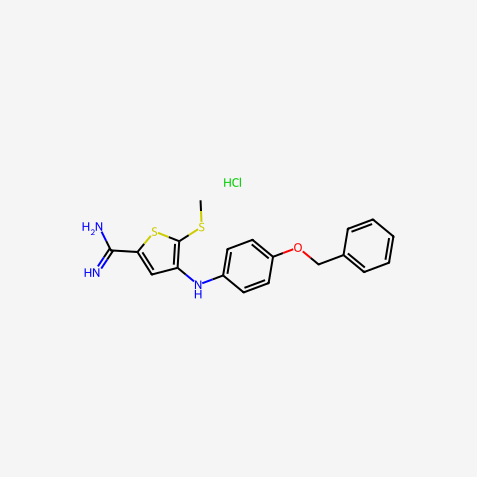 CSc1sc(C(=N)N)cc1Nc1ccc(OCc2ccccc2)cc1.Cl